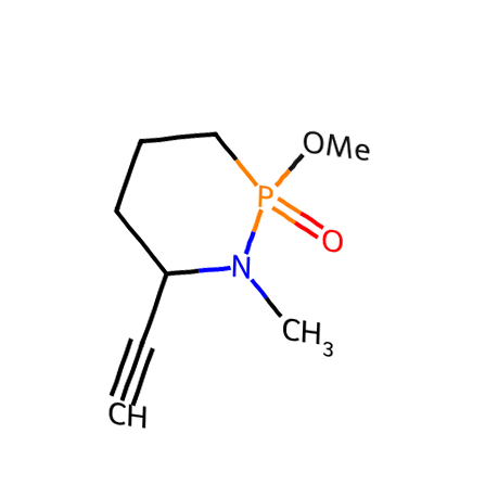 C#CC1CCCP(=O)(OC)N1C